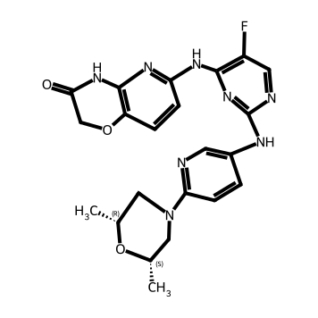 C[C@@H]1CN(c2ccc(Nc3ncc(F)c(Nc4ccc5c(n4)NC(=O)CO5)n3)cn2)C[C@H](C)O1